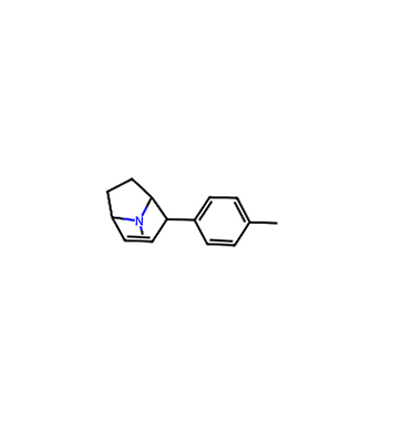 Cc1ccc(C2C=CC3CCC2N3C)cc1